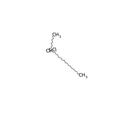 CCCCCCCCCCCCCCCCCC[Si](Cl)(Cl)CCCCCCCC